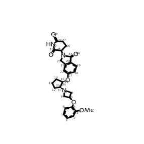 COc1ccccc1OC1CN([C@H]2CCC[C@H]2Oc2ccc3c(c2)CN(C2CCC(=O)NC2=O)C3=O)C1